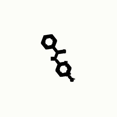 O=C(Nc1cc[n+]([O-])cn1)c1ccccc1